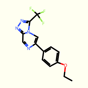 CCOc1ccc(-c2cn3c(C(F)(F)F)nnc3cn2)cc1